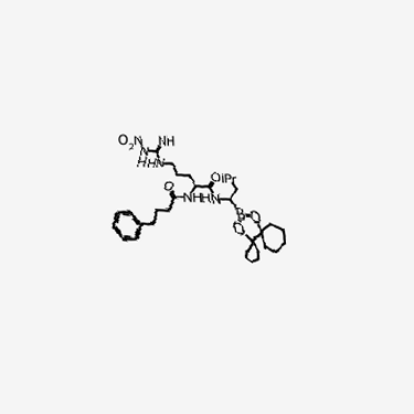 CC(C)C[C@H](NC(=O)[C@H](CCCNC(=N)N[N+](=O)[O-])NC(=O)CCCc1ccccc1)B1OC2(CCCCC2)C2(CCCCC2)O1